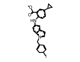 COC(=O)c1cc(C2CC2)ccc1Nc1ccc2c(ccn2CC2=CCC(I)C=C2)c1